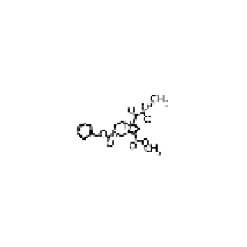 CCOC(=O)C(=O)c1cc(C(=O)OC)c2n1CCN(C(=O)OCc1ccccc1)C2